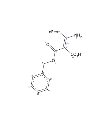 CCCCC/C(N)=C(/C(=O)O)C(=O)OCc1ccccc1